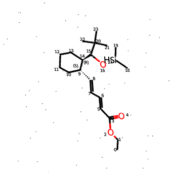 CCOC(=O)C=CC=C[C@@H]1CCCC[C@H]1C(O[SiH](C)C)C(C)(C)C